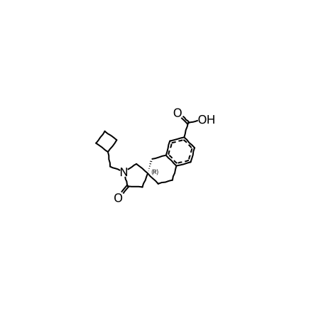 O=C(O)c1ccc2c(c1)C[C@]1(CC2)CC(=O)N(CC2CCC2)C1